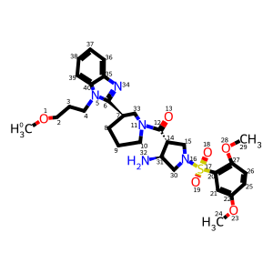 COCCCn1c([C@@H]2CCCN(C(=O)[C@@H]3CN(S(=O)(=O)c4cc(OC)ccc4OC)C[C@H]3N)C2)nc2ccccc21